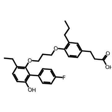 CCCc1cc(CCC(=O)O)ccc1OCCCOc1c(CC)ccc(O)c1-c1ccc(F)cc1